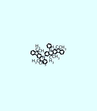 CC1(C)c2ccccc2-c2cc3c(cc21)N(c1ccc2c(c1)C(C)(C)c1cc4c(cc1N2c1ccccc1)C(C)(C)c1ccccc1-4)c1ccccc1C3(C)C